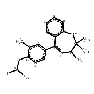 Cc1cc(C2=NC(C)C(C)(C)Oc3ccccc32)cnc1OC(F)F